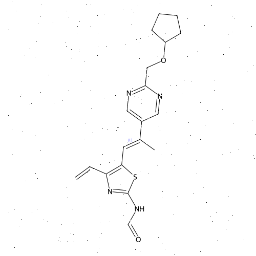 C=Cc1nc(NC=O)sc1/C=C(\C)c1cnc(COC2CCCC2)nc1